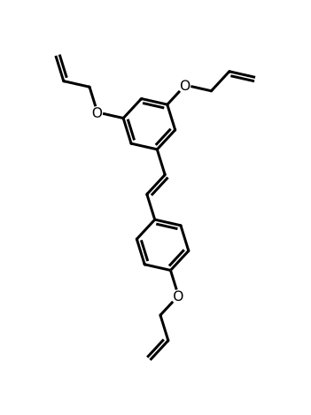 C=CCOc1ccc(/C=C/c2cc(OCC=C)cc(OCC=C)c2)cc1